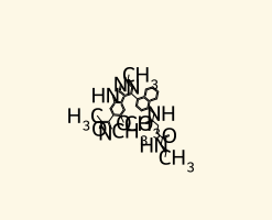 CCNC(=O)CCC(=O)Nc1ccc(-c2nc(C)nc3[nH]c4cc(-c5c(C)noc5C)c(OC)cc4c23)c2ccccc12